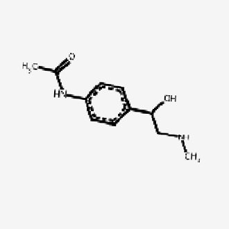 CNCC(O)c1ccc(NC(C)=O)cc1